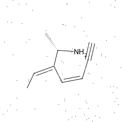 C#C/C=C\C(=C/C)[C@H](C)N